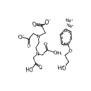 O=C([O-])CN(CCN(CC(=O)O)CC(=O)O)CC(=O)[O-].OCCOc1ccccc1.[Na+].[Na+]